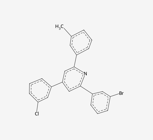 Cc1cccc(-c2cc(-c3cccc(Cl)c3)cc(-c3cccc(Br)c3)n2)c1